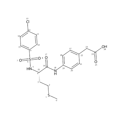 CSCC[C@H](NS(=O)(=O)c1ccc(Cl)cc1)C(=O)Nc1ccc(CC(=O)O)cc1